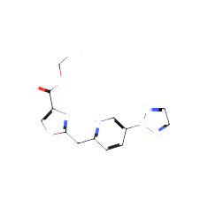 CCOC(=O)c1coc(Cc2ccc(-n3nccn3)cn2)n1